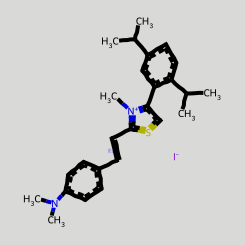 CC(C)c1ccc(C(C)C)c(-c2csc(/C=C/c3ccc(N(C)C)cc3)[n+]2C)c1.[I-]